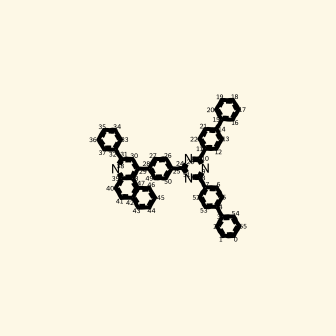 c1ccc(-c2ccc(-c3nc(-c4ccc(-c5ccccc5)cc4)nc(-c4ccc(-c5cc(-c6ccccc6)nc6ccc7ccccc7c56)cc4)n3)cc2)cc1